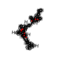 CC[C@H](NC(=O)[C@H](CC1CCCCC1)NC(=O)c1ccc(CCNC(=O)C2CCN(S(=O)(=O)c3ccccc3-c3c4cc/c(=[N+]5/CCc6ccccc65)cc-4oc4cc(N5CCc6ccccc65)ccc34)CC2)cc1)C(=O)NCCNC(=O)CCCCCN1\C(=C/C=C/C=C/C2=[N+](CC)c3ccc4c(S(=O)(=O)O)cc(S(=O)(=O)O)cc4c3C2(C)C)C(C)(C)c2c1ccc1c(S(=O)(=O)O)cc(S(C)(=O)=O)cc21